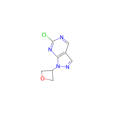 Clc1ncc2cnn(C3COC3)c2n1